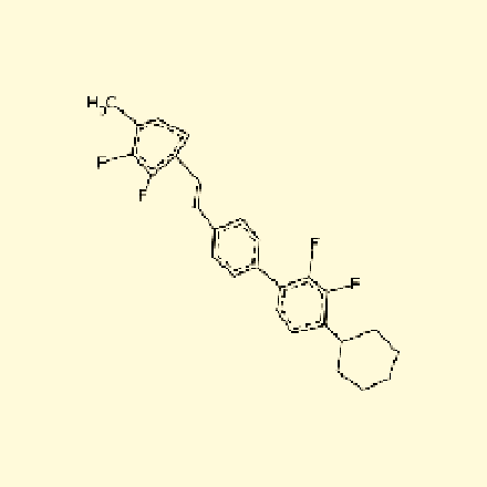 Cc1ccc(/C=C/c2ccc(-c3ccc(C4CCCCC4)c(F)c3F)cc2)c(F)c1F